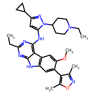 CCc1nc(Nc2cc(C3CC3)nn2C2CCN(CC)CC2)c2c(n1)[nH]c1cc(-c3c(C)noc3C)c(OC)cc12